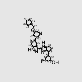 Oc1cc(F)cc(-c2cccc3[nH]c(-c4n[nH]c5cnc(-c6cncc(OCc7ccccc7)c6)cc45)nc23)c1